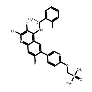 Cc1nc2cc(F)c(-c3ccc(OCP(C)(C)=O)nc3)cc2c(N[C@H](C)c2ccccc2F)c1Cl